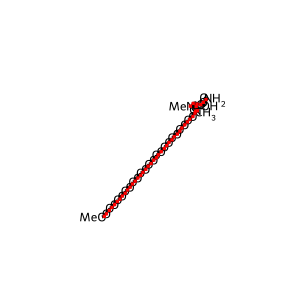 CNc1ccc(COP(O)OCC(N)=O)c(CN(C)C(=O)CCOCCOCCOCCOCCOCCOCCOCCOCCOCCOCCOCCOCCOCCOCCOCCOCCOCCOCCOCCOCCOCCOCCOCCOC)c1